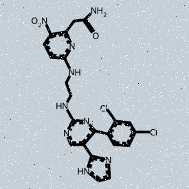 NC(=O)Cc1nc(NCCNc2ncc(-c3ncc[nH]3)c(-c3ccc(Cl)cc3Cl)n2)ccc1[N+](=O)[O-]